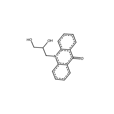 O=c1c2ccccc2n(CC(O)CO)c2ccccc12